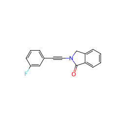 O=C1c2ccccc2CN1C#Cc1cccc(F)c1